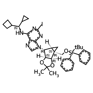 CC1(C)O[C@H]2[C@H](n3cnc4c(N[C@@H](C5CCC5)C5CC5)nc(I)nc43)[C@H]3C[C@@]3(CO[Si](c3ccccc3)(c3ccccc3)C(C)(C)C)[C@H]2O1